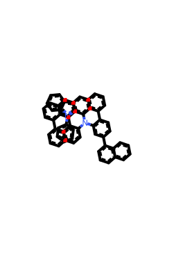 c1ccc(-c2ccc(-c3cccc4ccccc34)cc2N(c2ccccc2-c2cccc3cccc(-c4ccccc4)c23)c2cccc3c4ccccc4n(-c4ccccc4)c23)cc1